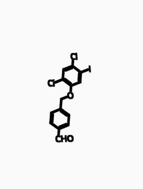 O=Cc1ccc(COc2cc(I)c(Cl)cc2Cl)cc1